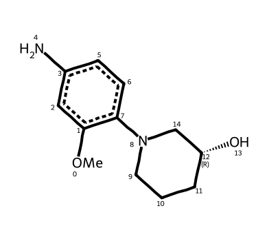 COc1cc(N)ccc1N1CCC[C@@H](O)C1